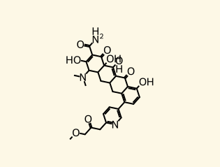 COCC(=O)Cc1ccc(-c2ccc(O)c3c2CC2CC4C(N(C)C)C(O)=C(C(N)=O)C(=O)C4(O)C(O)=C2C3=O)cn1